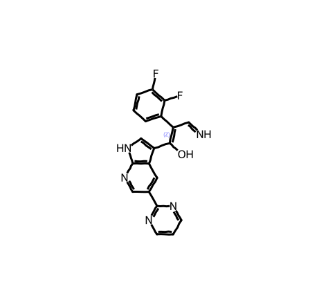 N=C/C(=C(\O)c1c[nH]c2ncc(-c3ncccn3)cc12)c1cccc(F)c1F